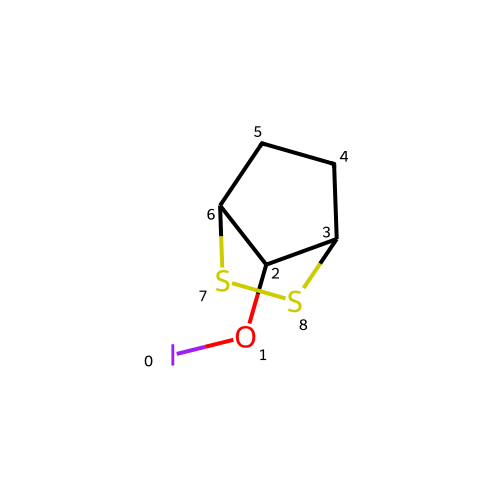 IOC1C2CCC1SS2